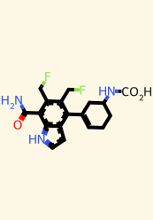 NC(=O)c1c(CF)c(CF)c(C2=CCCC(NC(=O)O)C2)c2cc[nH]c12